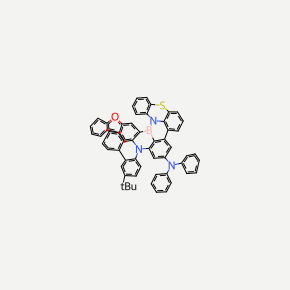 CC(C)(C)c1ccc(N2c3cc4c(cc3B3c5c(cc(N(c6ccccc6)c6ccccc6)cc52)-c2cccc5c2N3c2ccccc2S5)oc2ccccc24)c(-c2ccccc2)c1